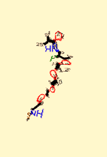 CSNCCOCCOCCOCCOC(C)C(F)CNC(=O)C(C)C